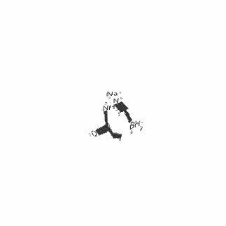 CC(N)=O.[BH3-]C#N.[Na+]